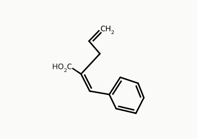 C=CCC(=Cc1ccccc1)C(=O)O